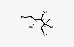 C[C@@](O)(CO)[C@H](O)[C@H](O)CO